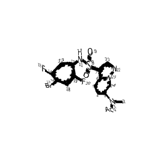 CC(=O)N(C)c1ccc2c(S(=O)(=O)Nc3cc(F)c(Br)cc3F)cnn2c1